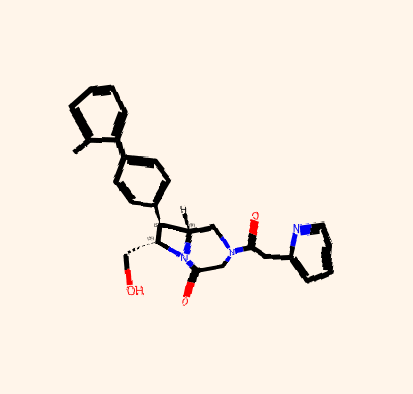 Cc1ccccc1-c1ccc([C@@H]2[C@@H](CO)N3C(=O)CN(C(=O)Cc4ccccn4)C[C@@H]23)cc1